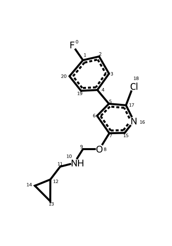 Fc1ccc(-c2cc(OCNCC3CC3)cnc2Cl)cc1